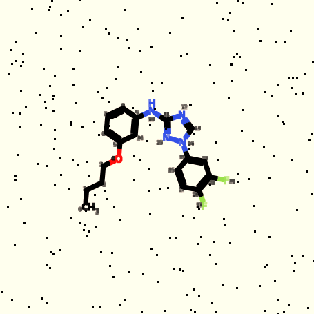 CCCCOc1cccc(Nc2ncn(-c3ccc(F)c(F)c3)n2)c1